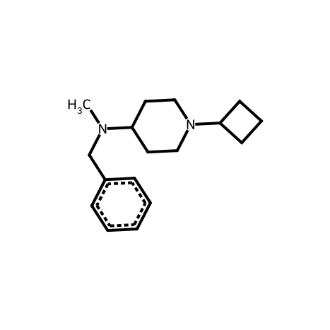 CN(Cc1ccccc1)C1CCN(C2CCC2)CC1